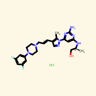 Cc1c(/C=C/CN2CCN(c3cc(F)cc(F)c3)CC2)cnn1-c1cc(N[C@@H](C)CO)nc(N)n1.Cl